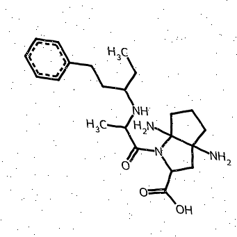 CCC(CCc1ccccc1)NC(C)C(=O)N1C(C(=O)O)CC2(N)CCCC12N